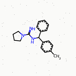 Cc1ccc(C(NC(=N)N2CCCC2)c2ccccc2)cc1